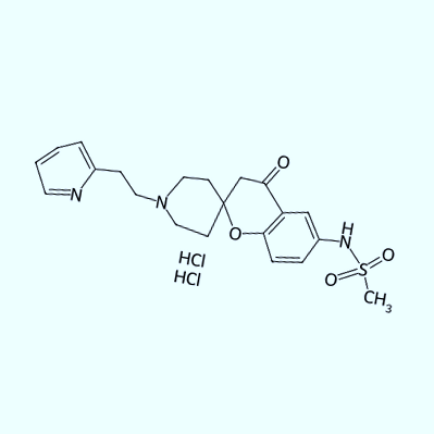 CS(=O)(=O)Nc1ccc2c(c1)C(=O)CC1(CCN(CCc3ccccn3)CC1)O2.Cl.Cl